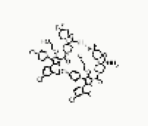 NC(=O)C1(N2CCC(F)(F)CC2)CCN(C(=O)c2sc(-c3ccc(Cl)cc3Cl)c(-c3ccc(Cl)cc3)c2OCCCO)CC1.NC(=O)C1(N2CCC(F)(F)CC2)CCN(C(=O)c2sc(-c3ccc(Cl)cc3Cl)c(-c3ccc(Cl)cc3)c2OCCO)CC1